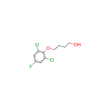 OCCCCOc1c(Cl)cc(F)cc1Cl